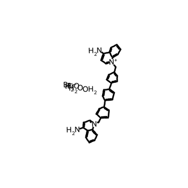 Nc1cc[n+](Cc2ccc(-c3ccc(-c4ccc(C[n+]5ccc(N)c6ccccc65)cc4)cc3)cc2)c2ccccc12.O.O.O.[Br-].[Br-]